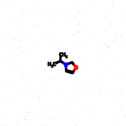 CC(C)N1C=COC1